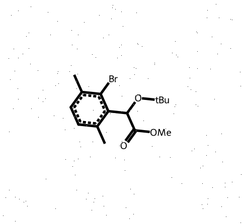 COC(=O)C(OC(C)(C)C)c1c(C)ccc(C)c1Br